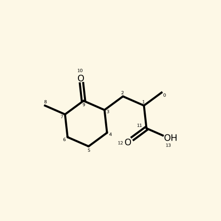 CC(CC1CCCC(C)C1=O)C(=O)O